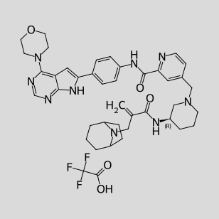 C=C(CN1C2CCCC1CC2)C(=O)N[C@@H]1CCCN(Cc2ccnc(C(=O)Nc3ccc(-c4cc5c(N6CCOCC6)ncnc5[nH]4)cc3)c2)C1.O=C(O)C(F)(F)F